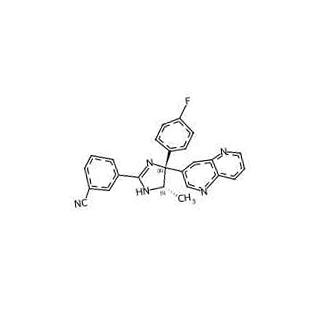 C[C@@H]1NC(c2cccc(C#N)c2)=N[C@]1(c1ccc(F)cc1)c1cnc2cccnc2c1